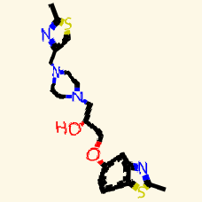 Cc1nc(CN2CCN(C[C@H](O)COc3ccc4sc(C)nc4c3)CC2)cs1